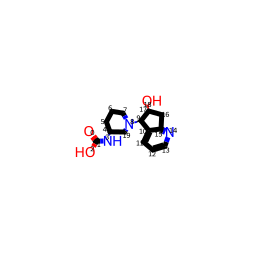 O=C(O)N[C@@H]1CCCN([C@H]2c3cccnc3C[C@H]2O)C1